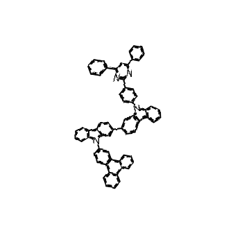 c1ccc(-c2cc(-c3ccccc3)nc(-c3ccc(-n4c5ccccc5c5ccc(-c6ccc7c8ccccc8n(-c8ccc9c%10ccccc%10c%10ccccc%10c9c8)c7c6)cc54)cc3)n2)cc1